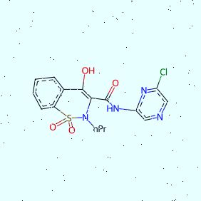 CCCN1C(C(=O)Nc2cncc(Cl)n2)=C(O)c2ccccc2S1(=O)=O